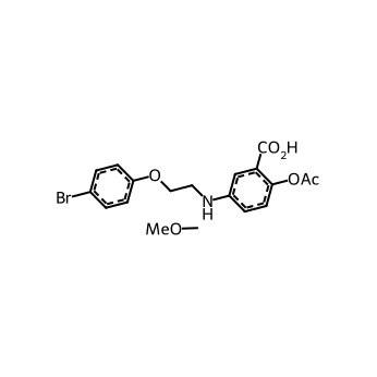 CC(=O)Oc1ccc(NCCOc2ccc(Br)cc2)cc1C(=O)O.COC